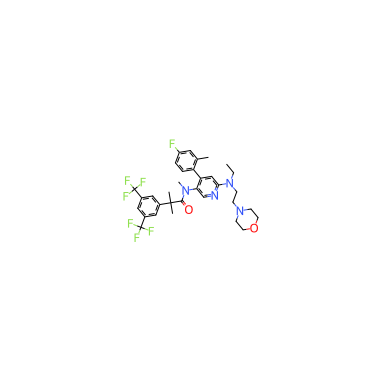 CCN(CCN1CCOCC1)c1cc(-c2ccc(F)cc2C)c(N(C)C(=O)C(C)(C)c2cc(C(F)(F)F)cc(C(F)(F)F)c2)cn1